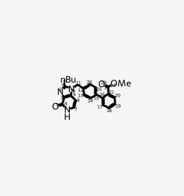 CCCCc1nc2c(=O)[nH]ccc2n1Cc1ccc(-c2ccccc2C(=O)OC)cc1